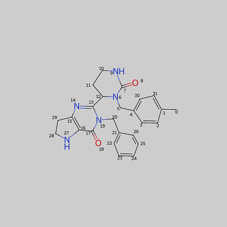 Cc1ccc(CN2C(=O)NCCC2c2nc3c(c(=O)n2Cc2ccccc2)NCC3)cc1